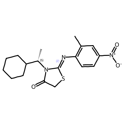 Cc1cc([N+](=O)[O-])ccc1/N=C1\SCC(=O)N1[C@@H](C)C1CCCCC1